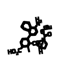 CC(C)(C)OC(=O)N1CCNCC1.Cc1c(C(=O)O)ccc(-c2ccc(N)c3ccccc23)c1C(=O)O